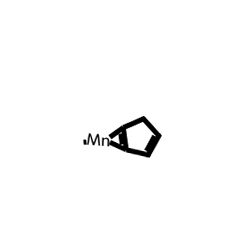 [CH3][Mn]1[C]2=[C]1CC=C2